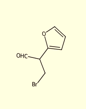 O=CC(CBr)c1ccco1